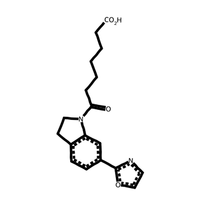 O=C(O)CCCCCC(=O)N1CCc2ccc(-c3ncco3)cc21